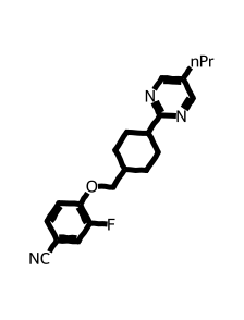 CCCc1cnc(C2CCC(COc3ccc(C#N)cc3F)CC2)nc1